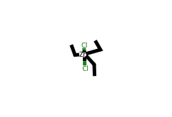 C[CH2][Zr]([Cl])([Cl])([CH2]C)[CH2]C